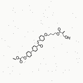 C=COC(=O)COc1ccc(-c2ccc(C(=O)Sc3ccc(OCCCCOC(=O)C(=C)CO)cc3)cc2)cc1